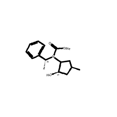 COC(=O)N(C1CC(C)C[C@H]1O)[C@H](C)c1ccccc1